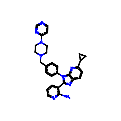 Nc1ncccc1-c1nc2ccc(C3CC3)nc2n1-c1ccc(CN2CCN(c3ccncn3)CC2)cc1